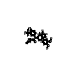 C=CCNC(=O)N(c1ccc(Cl)c(C(F)(F)F)c1)[C@@H]1CC[C@@]2(c3ccc(OC)c(OC)c3)CCN(C)[C@H]2C1